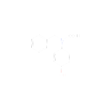 O=C(O)N(Cc1ccccc1)C1C=CC(O)CC1